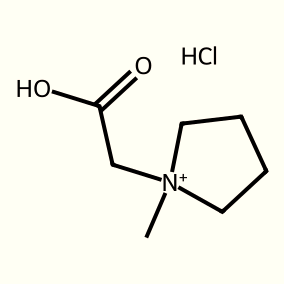 C[N+]1(CC(=O)O)CCCC1.Cl